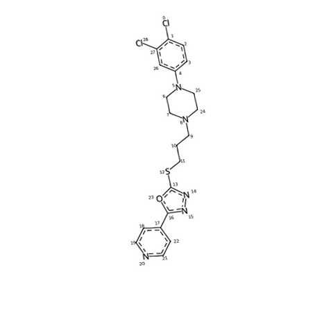 Clc1ccc(N2CCN(CCCSc3nnc(-c4ccncc4)o3)CC2)cc1Cl